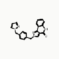 O=c1[nH]c2ccccc2c2nn(Cc3ccc(Cn4cccn4)cc3)cc12